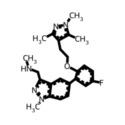 CNCc1nn(C)c2ccc(-c3cc(F)ccc3OCCc3c(C)nn(C)c3C)cc12